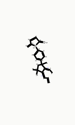 C=C/C=C1\C(=C/C)C(C)(c2ccc(N3C(=C)C=CC3=O)cc2)CC1(C)C